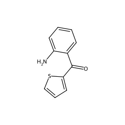 Nc1ccccc1C(=O)c1cccs1